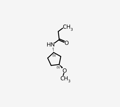 CCC(=O)N[C@H]1CC[C@H](OC)C1